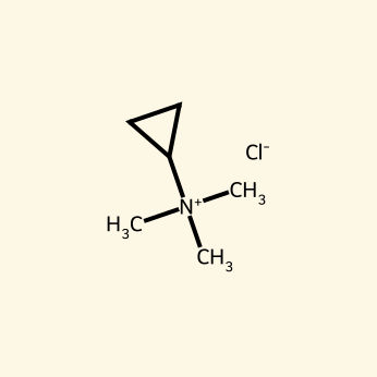 C[N+](C)(C)C1CC1.[Cl-]